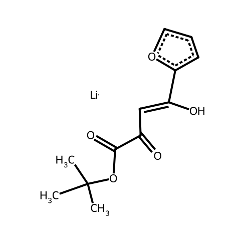 CC(C)(C)OC(=O)C(=O)/C=C(\O)c1ccco1.[Li]